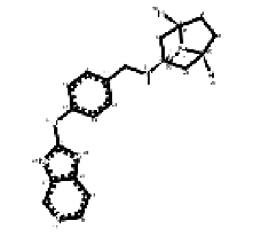 CC(=O)N1[C@@H]2CC[C@H]1C[C@H](NCc1ccc(Oc3nc4cnccc4s3)cc1)C2